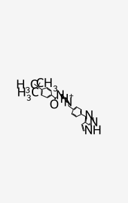 CC(C)(C)c1ccc(C(=O)N=[N+]=NCc2ccc(-c3ncnc4[nH]ccc34)cc2)cc1